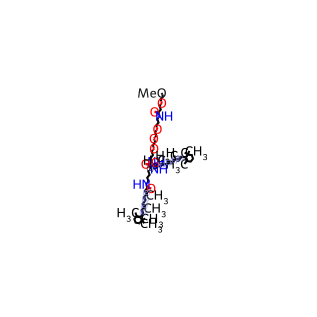 COCCOCCC(=O)NCCCOCCOCCOCCCNC(=O)[C@H](CCCCNC(=O)/C=C(C)/C=C/C=C(C)/C=C/C1=C(C)CCCC1(C)C)NC(=O)/C=C(C)/C=C/C=C(C)/C=C/C1=C(C)CCCC1(C)C